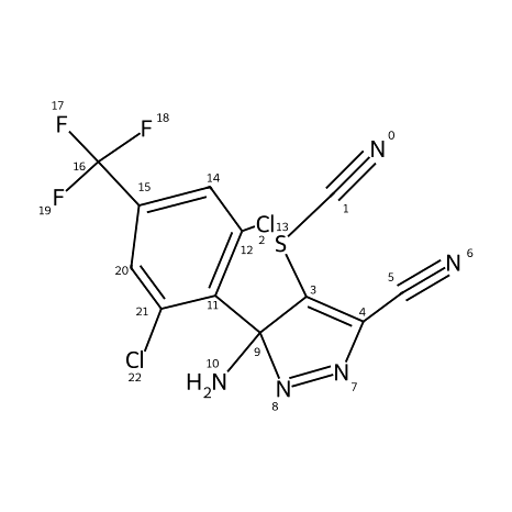 N#CSC1=C(C#N)N=NC1(N)c1c(Cl)cc(C(F)(F)F)cc1Cl